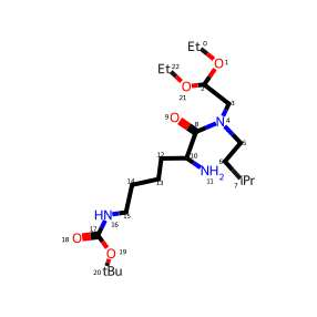 CCOC(CN(CCC(C)C)C(=O)C(N)CCCCNC(=O)OC(C)(C)C)OCC